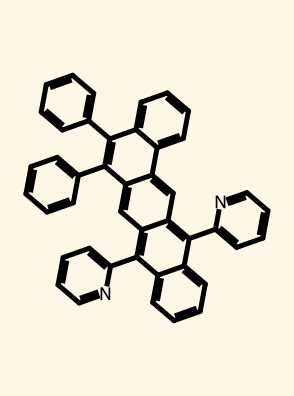 c1ccc(-c2c(-c3ccccc3)c3cc4c(-c5ccccn5)c5ccccc5c(-c5ccccn5)c4cc3c3ccccc23)cc1